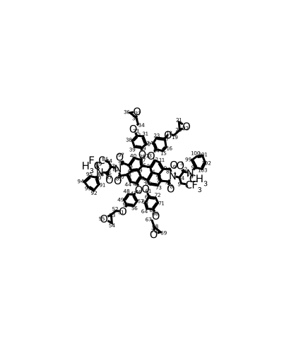 CN(C(=O)C(CC(F)(F)F)N1C(=O)c2cc(Oc3ccc(OCC4CO4)cc3)c3c4c(Oc5ccc(OCC6CO6)cc5)cc5c6c(cc(Oc7ccc(OCC8CO8)cc7)c(c7c(Oc8ccc(OCC9CO9)cc8)cc(c2c37)C1=O)c64)C(=O)N(C(CC(F)(F)F)C(=O)N(C)c1ccccc1)C5=O)c1ccccc1